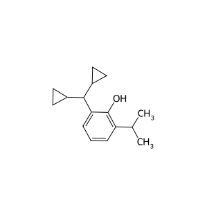 CC(C)c1cccc(C(C2CC2)C2CC2)c1O